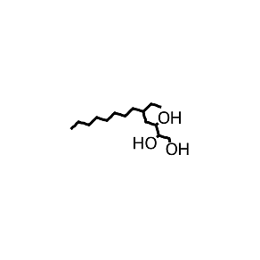 CCCCCCCCC(CC)CC(O)C(O)CO